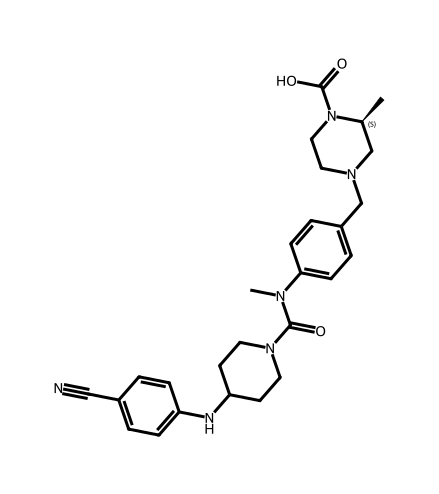 C[C@H]1CN(Cc2ccc(N(C)C(=O)N3CCC(Nc4ccc(C#N)cc4)CC3)cc2)CCN1C(=O)O